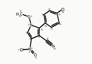 COn1cc([N+](=O)[O-])c(C#N)c1-c1ccc(Cl)cc1